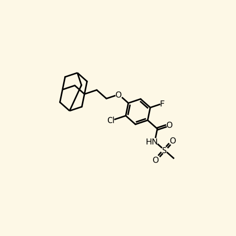 CS(=O)(=O)NC(=O)c1cc(Cl)c(OCCC23CC4CC(CC(C4)C2)C3)cc1F